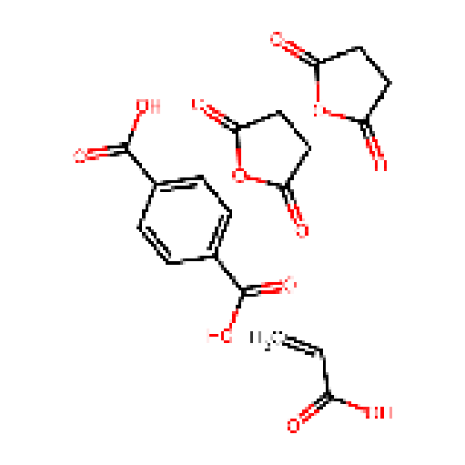 C=CC(=O)O.O=C(O)c1ccc(C(=O)O)cc1.O=C1CCC(=O)O1.O=C1CCC(=O)O1